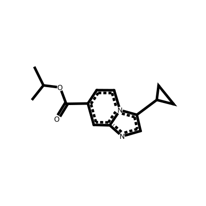 CC(C)OC(=O)c1ccn2c(C3CC3)cnc2c1